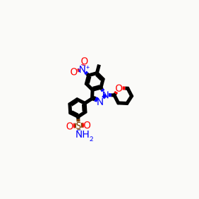 Cc1cc2c(cc1[N+](=O)[O-])c(-c1cccc(S(N)(=O)=O)c1)nn2C1CCCCO1